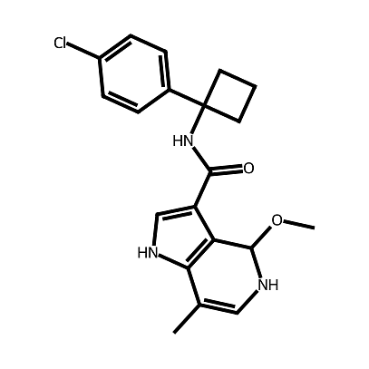 COC1NC=C(C)c2[nH]cc(C(=O)NC3(c4ccc(Cl)cc4)CCC3)c21